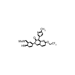 CN/C=C1/C=C(n2cc3ccc(OCC(F)(F)F)nc3c(-c3ccc(C)nc3)c2=O)C=CC1=N